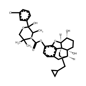 CC1N(C(=O)Oc2ccc3c4c2O[C@H]2[C@H](O)CC[C@@]5(O)[C@@H](C3)N(CC3CC3)CC[C@]425)C(C)(C)COC1(O)c1cccc(Cl)c1